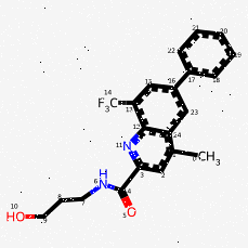 Cc1cc(C(=O)NCCCO)nc2c(C(F)(F)F)cc(-c3ccccc3)cc12